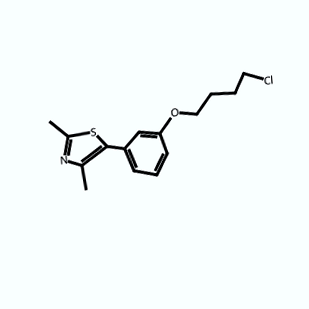 Cc1nc(C)c(-c2cccc(OCCCCCl)c2)s1